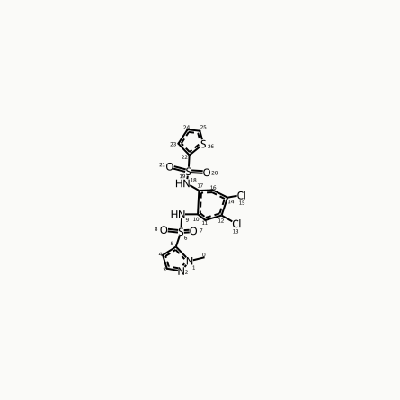 Cn1nccc1S(=O)(=O)Nc1cc(Cl)c(Cl)cc1NS(=O)(=O)c1cccs1